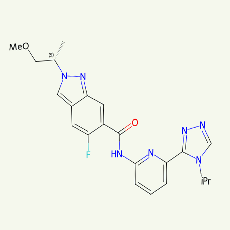 COC[C@H](C)n1cc2cc(F)c(C(=O)Nc3cccc(-c4nncn4C(C)C)n3)cc2n1